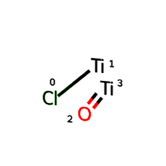 [Cl][Ti].[O]=[Ti]